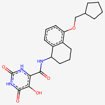 O=C(NC1CCCc2c(OCC3CCCC3)cccc21)c1[nH]c(=O)[nH]c(=O)c1O